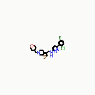 Fc1ccc(Cl)c(-c2ccc(NCc3csc4c3CCN(CC3CCOCC3)C4)nn2)c1